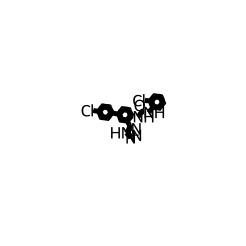 O=C(Nc1ccccc1Cl)Nc1ccc(-c2ccc(Cl)cc2)cc1-c1nnn[nH]1